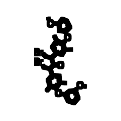 COc1cccc(Oc2c(C)cc(C(CBr)C(=O)C(CBr)c3cc(C)c(Oc4cccc(OC)c4)c(C)c3)cc2C)c1